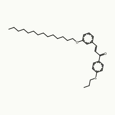 CCCCCCCCCCCCCCOc1cccc(C=CC(=O)c2ccc(SCCC)cc2)c1